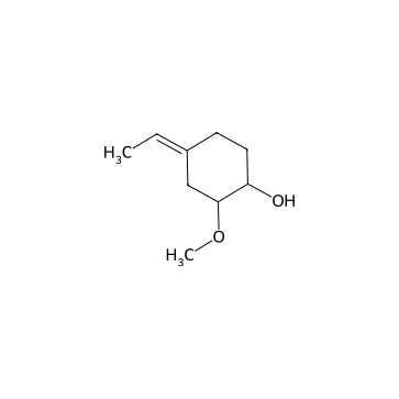 C/C=C1/CCC(O)C(OC)C1